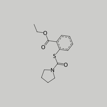 CCOC(=O)c1ccccc1SC(=O)N1CCCC1